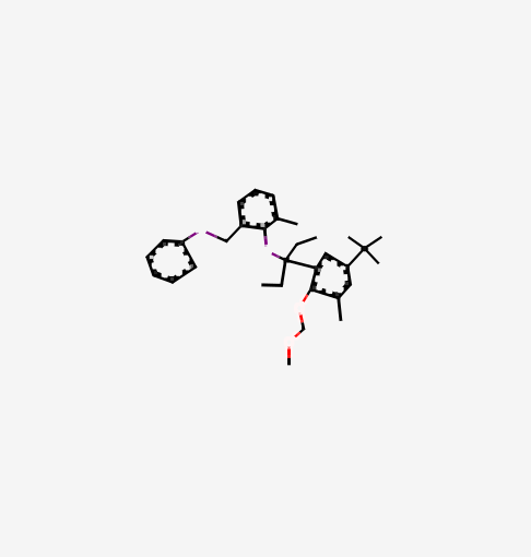 CCC(CC)(Pc1c(C)cccc1CPc1ccccc1)c1cc(C(C)(C)C)cc(C)c1OCOC